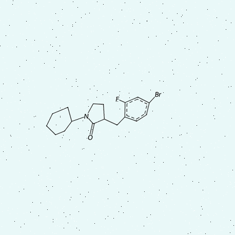 O=C1C(Cc2ccc(Br)cc2F)CCN1C1CCCCC1